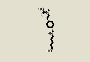 CN(CC[C@H]1CC[C@H](CNCCCCCO)CC1)C(=O)O